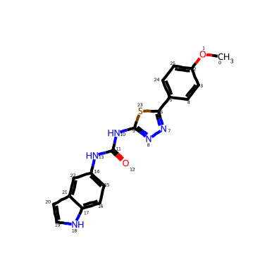 COc1ccc(-c2nnc(NC(=O)Nc3ccc4[nH]ccc4c3)s2)cc1